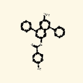 COc1cc(-c2ccccc2)c2cc(OC(=O)c3ccc(C(C)=O)cc3)cc(-c3ccccc3)c2c1